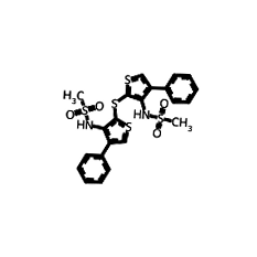 CS(=O)(=O)Nc1c(-c2ccccc2)csc1Sc1scc(-c2ccccc2)c1NS(C)(=O)=O